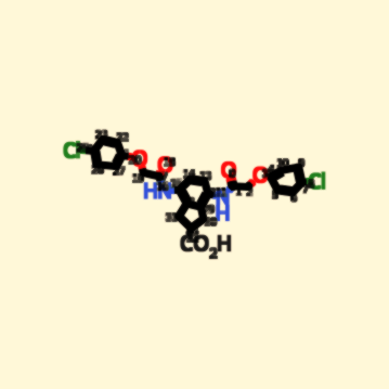 O=C(COc1ccc(Cl)cc1)Nc1ccc(NC(=O)COc2ccc(Cl)cc2)c2c1CC(C(=O)O)C2